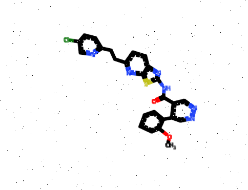 COc1ccccc1-c1cnncc1C(=O)Nc1nc2ccc(CCc3ccc(Cl)cn3)nc2s1